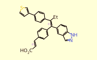 CC/C(=C(/c1ccc(/C=C/C(=O)O)cc1)c1ccc2[nH]ncc2c1)c1ccc(-c2ccsc2)cc1